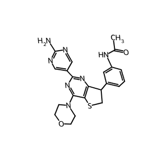 CC(=O)Nc1cccc(C2CSc3c2nc(-c2cnc(N)nc2)nc3N2CCOCC2)c1